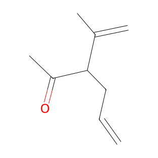 C=CCC(C(=C)C)C(C)=O